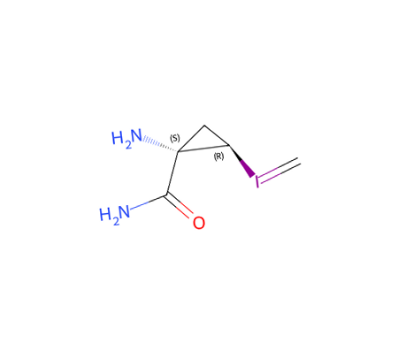 C=I[C@@H]1C[C@]1(N)C(N)=O